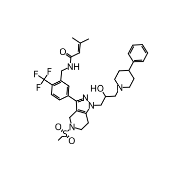 CC(C)=CC(=O)NCc1cc(-c2nn(CC(O)CN3CCC(c4ccccc4)CC3)c3c2CN(S(C)(=O)=O)CC3)ccc1C(F)(F)F